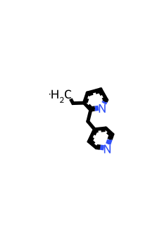 [CH2]Cc1cccnc1Cc1ccncc1